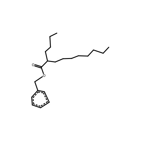 CCCCCCCCC(CCCC)C(=O)OCc1ccccc1